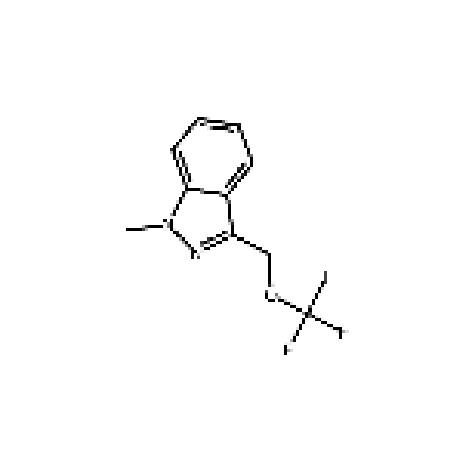 Cn1nc(COC(F)(F)I)c2ccccc21